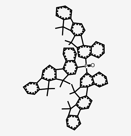 CC1(C)c2ccccc2-c2ccc3c(c21)C(C)(C)c1cc(P(=O)(c2cc4c(c5ccccc25)-c2ccc5c(c2C4(C)C)C(C)(C)c2ccccc2-5)c2cc4c(c5ccccc25)-c2ccc5c(c2C4(C)C)C(C)(C)c2ccccc2-5)c2ccccc2c1-3